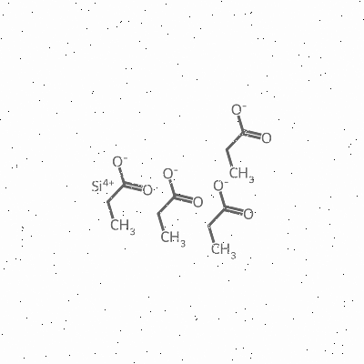 CCC(=O)[O-].CCC(=O)[O-].CCC(=O)[O-].CCC(=O)[O-].[Si+4]